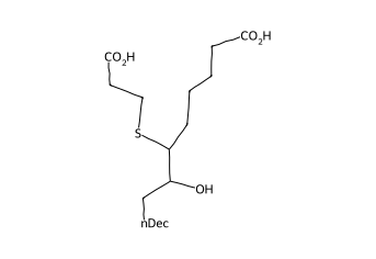 CCCCCCCCCCCC(O)C(CCCCC(=O)O)SCCC(=O)O